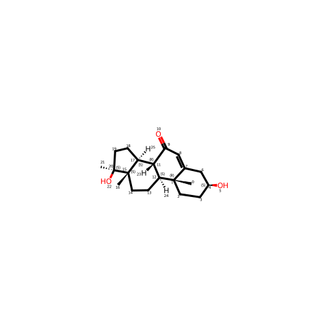 C[C@]12CC[C@H](O)CC1=CC(=O)[C@@H]1[C@@H]2CC[C@@]2(C)[C@H]1CC[C@]2(C)O